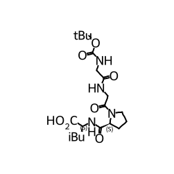 CCC(C)[C@H](NC(=O)[C@@H]1CCCN1C(=O)CNC(=O)CNC(=O)OC(C)(C)C)C(=O)O